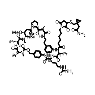 CC[C@H](C)[C@@H]([C@@H](CC(=O)N1CCC[C@H]1[C@H](OC)[C@@H](C)C(=O)NCCc1ccccc1)OC)N(C)C(=O)[C@@H](NC(=O)[C@H](C(C)C)N(C)C(=O)OCc1ccc(NC(=O)[C@H](CCCNC(N)=O)NC(=O)[C@@H](NC(=O)CCCCCN2C(=O)CC(SCC3(CC(N)=O)CC3)C2=O)C(C)C)cc1)C(C)C